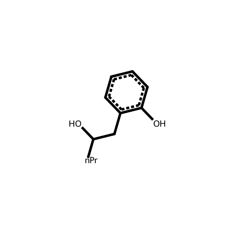 CCCC(O)Cc1ccccc1O